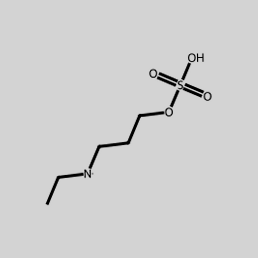 CC[N]CCCOS(=O)(=O)O